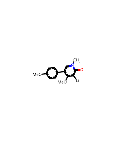 [Li][c]1c(OC)c(-c2ccc(OC)cc2)cn(C)c1=O